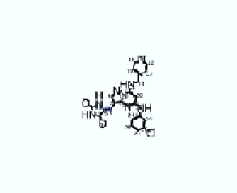 O=C1NC(=O)/C(=C/c2cnn3c(NCc4ccncc4)cc(Nc4cccc(Cl)c4)nc23)N1